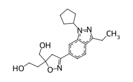 CCc1nn(C2CCCC2)c2cc(C3=NOC(CO)(CCO)C3)ccc12